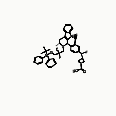 C[C@@H]1Cc2c([nH]c3ccccc23)[C@@H](c2ccc(C(F)C3CN(C(=O)O)C3)cc2C#N)N1CC(F)(F)CO[Si](c1ccccc1)(c1ccccc1)C(C)(C)C